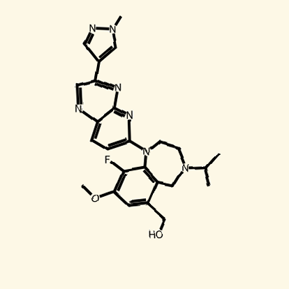 COc1cc(CO)c2c(c1F)N(c1ccc3ncc(-c4cnn(C)c4)nc3n1)CCN(C(C)C)C2